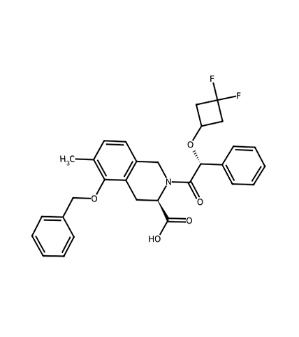 Cc1ccc2c(c1OCc1ccccc1)C[C@H](C(=O)O)N(C(=O)[C@H](OC1CC(F)(F)C1)c1ccccc1)C2